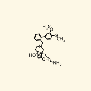 COc1ccc(-c2ccccc2CN2CCP(=O)(O)[C@](CCCCN)(C(=O)O)C2)cc1OC